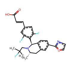 C[C@H]1Cc2cc(-c3ncco3)ccc2[C@H](c2c(F)cc(/C=C/C(=O)O)cc2F)N1CC(C)(C)F